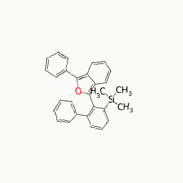 C[Si](C)(C)c1cccc(-c2ccccc2)c1-c1oc(-c2ccccc2)c2ccccc12